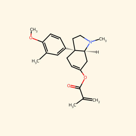 C=C(C)C(=O)OC1=CC[C@@]2(c3ccc(OC)c(C)c3)CCN(C)[C@H]2C1